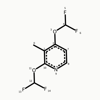 Cc1c(OC(F)F)ccnc1OC(F)F